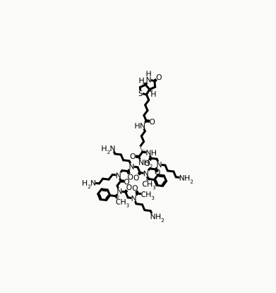 CC(=O)N(CCCCN)CC(=O)N(CC(=O)N(CCCCN)CC(=O)N(CCCCN)CC(=O)N(CC(=O)N(CCCCN)CC(=O)N[C@@H](CCCCNC(=O)CCCCC1SC[C@@H]2NC(=O)C[C@H]12)C(N)=O)[C@@H](C)c1ccccc1)[C@@H](C)c1ccccc1